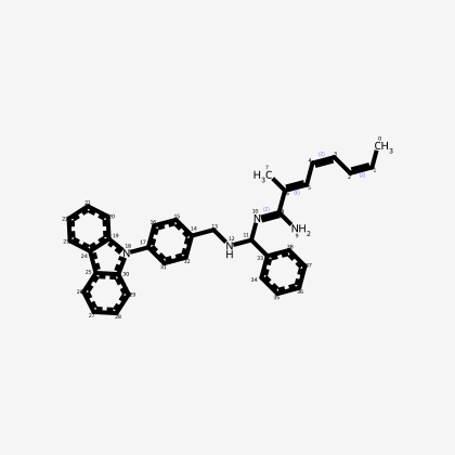 C\C=C/C=C\C=C(C)\C(N)=N\C(NCc1ccc(-n2c3ccccc3c3ccccc32)cc1)c1ccccc1